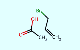 C=CCBr.CC(=O)O